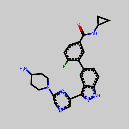 NC1CCN(c2cncc(-c3n[nH]c4ccc(-c5cc(C(=O)NC6CC6)ccc5F)cc34)n2)CC1